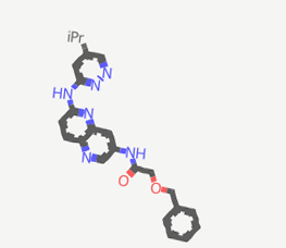 CC(C)c1cnnc(Nc2ccc3ncc(NC(=O)COCc4ccccc4)cc3n2)c1